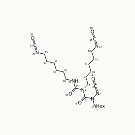 CCCCCCN(N=C=O)C(=O)N(CCCCCCN=C=O)C(=O)NCCCCCCN=C=O